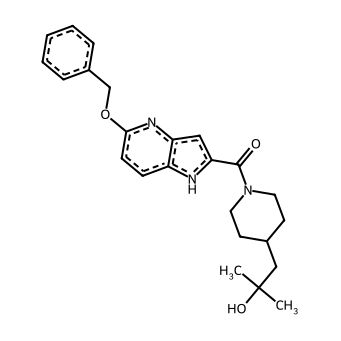 CC(C)(O)CC1CCN(C(=O)c2cc3nc(OCc4ccccc4)ccc3[nH]2)CC1